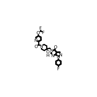 O=C(c1ccc(OC(F)F)cn1)N1CCC(O)(Cn2cnc3c(cnn3-c3ccc(F)cc3)c2=O)CC1